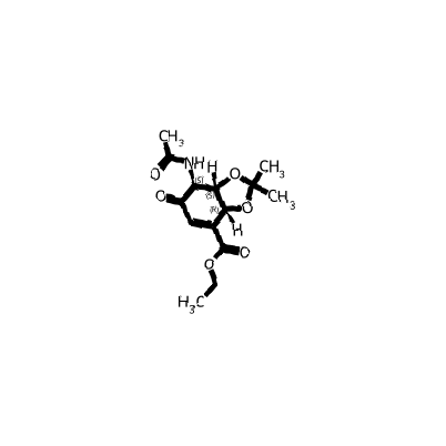 CCOC(=O)C1=CC(=O)[C@@H](NC(C)=O)[C@@H]2OC(C)(C)O[C@H]12